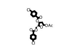 CC(=O)OC1C[C@H](OC(=O)c2ccc(Cl)cc2)[C@@H](COC(=O)c2ccc(Cl)cc2)O1